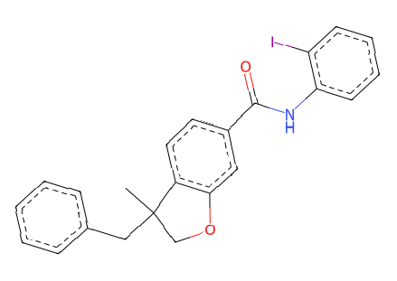 CC1(Cc2ccccc2)COc2cc(C(=O)Nc3ccccc3I)ccc21